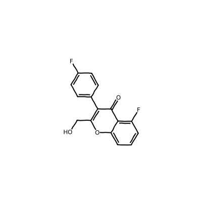 O=c1c(-c2ccc(F)cc2)c(CO)oc2cccc(F)c12